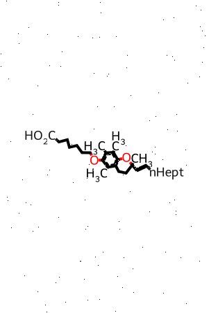 CCCCCCC/C=C/C1(C)CCc2c(C)c(OCCCCCCC(=O)O)c(C)c(C)c2O1